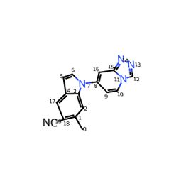 Cc1cc2c(ccn2-c2ccn3cnnc3c2)cc1C#N